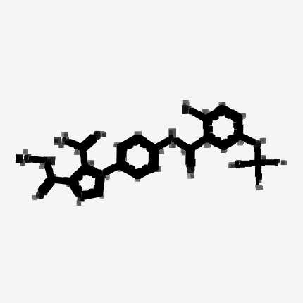 CNC(=O)c1ncn(-c2ccc(NC(=O)c3cc(OC(F)(F)F)ccc3Br)cc2)c1C(N)=O